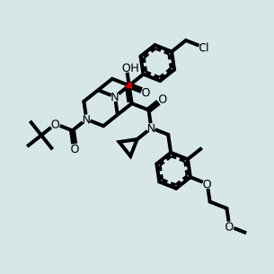 COCCOc1cccc(CN(C(=O)C2=C(c3ccc(CCl)cc3)CC3CN(C(=O)OC(C)(C)C)CC2N3C(=O)O)C2CC2)c1C